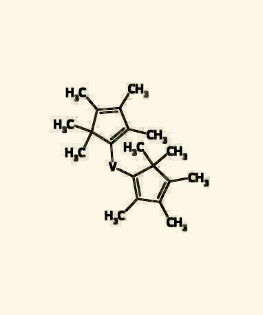 CC1=C(C)C(C)(C)[C]([V][C]2=C(C)C(C)=C(C)C2(C)C)=C1C